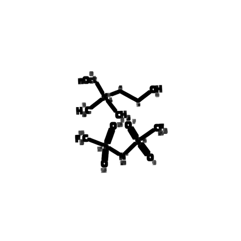 CCCCCCCC[N+](C)(C)CCO.O=S(=O)([N-]S(=O)(=O)C(F)(F)F)C(F)(F)F